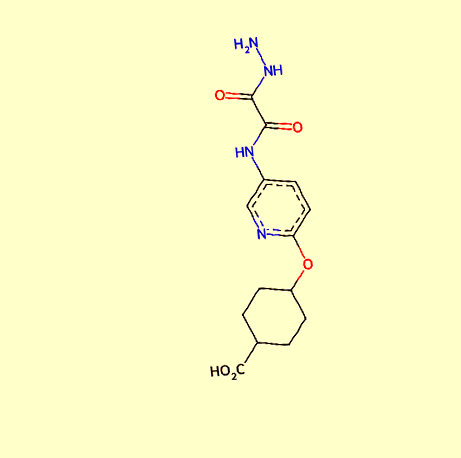 NNC(=O)C(=O)Nc1ccc(OC2CCC(C(=O)O)CC2)nc1